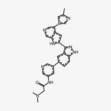 Cc1cn(-c2cncc3[nH]c(-c4n[nH]c5ccc(-c6cncc(NC(=O)CN(C)C)c6)cc45)cc23)cn1